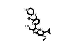 COc1cc2nc(CO)c(-c3ccc(F)c(N[C@@H]4CCCNC4)n3)n2nc1C1CC1